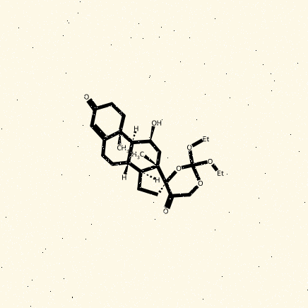 CCOC1(OCC)OCC(=O)[C@]2(CC[C@H]3[C@@H]4CCC5=CC(=O)CC[C@]5(C)[C@H]4[C@@H](O)C[C@@]32C)O1